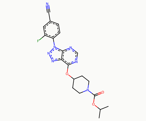 CC(C)OC(=O)N1CCC(Oc2ncnc3c2nnn3-c2ccc(C#N)cc2F)CC1